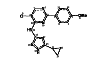 COc1ccc(-c2ncc(Cl)c(Nc3cc(C4CC4)[nH]n3)n2)cc1